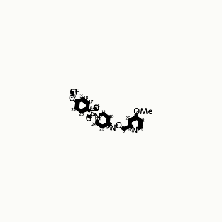 COc1ccnc(CON=C2CCN(S(=O)(=O)c3ccc(OC(F)(F)F)cc3)CC2)c1